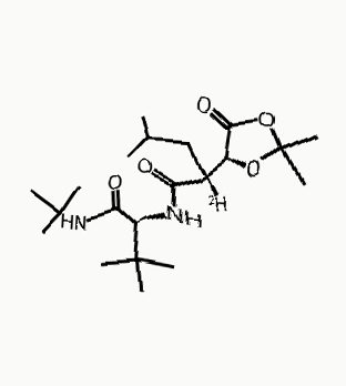 [2H][C@](CC(C)C)(C(=O)N[C@H](C(=O)NC(C)(C)C)C(C)(C)C)[C@@H]1OC(C)(C)OC1=O